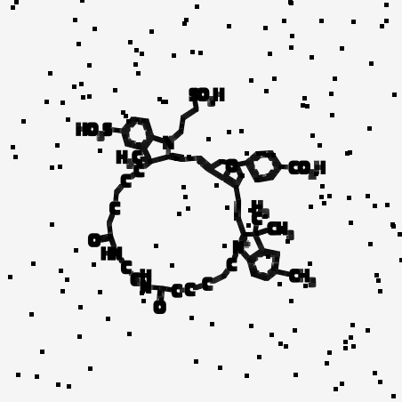 Cc1ccc2c(c1)C(C)(C)C1=[N+]2CCCCCC(=O)NCCNC(=O)CCCCCC2(C)/C(=C/C=C3\CCCC(=C3Oc3ccc(C(=O)O)cc3)/C=C/1)N(CCCS(=O)(=O)O)c1ccc(S(=O)(=O)O)cc12